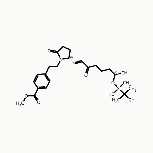 COC(=O)c1ccc(CCN2C(=O)CC[C@@H]2C=CC(=O)CCC[C@@H](C)O[Si](C)(C)C(C)(C)C)cc1